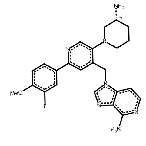 COc1ccc(-c2cc(Cn3cnc4c(N)nccc43)c(N3CCC[C@@H](N)C3)cn2)cc1F